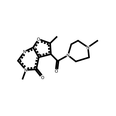 Cc1oc2ncn(C)c(=O)c2c1C(=O)N1CCN(C)CC1